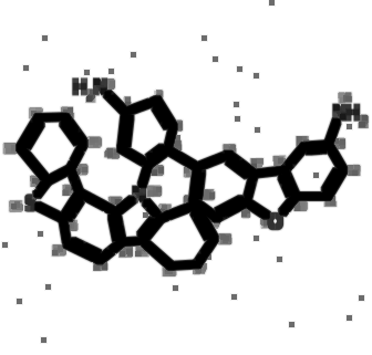 Nc1ccc(-c2ccc3oc4ccc(N)cc4c3c2)c(-n2c3c(c4ccc5c(c42)C2C=CC=CC2S5)CCC=C3)c1